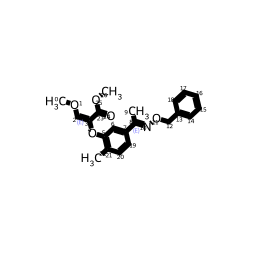 CO/C=C(/Oc1cc(/C(C)=N/OCc2ccccc2)ccc1C)C(=O)OC